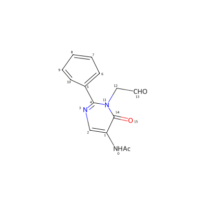 CC(=O)Nc1cnc(-c2ccccc2)n(CC=O)c1=O